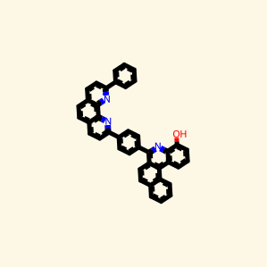 Oc1cccc2c1nc(-c1ccc(-c3ccc4ccc5ccc(-c6ccccc6)nc5c4n3)cc1)c1ccc3ccccc3c12